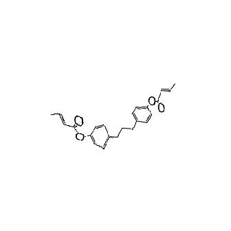 CC=CC(=O)Oc1ccc(CCCc2ccc(OC(=O)C=CC)cc2)cc1